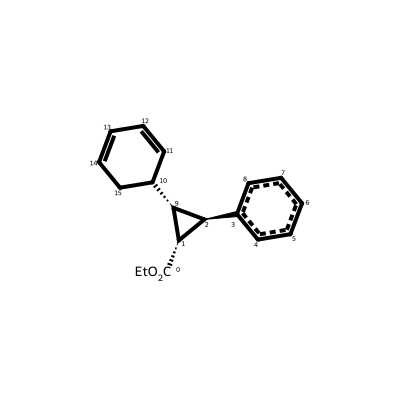 CCOC(=O)[C@H]1[C@H](c2ccccc2)[C@H]1C1C=CC=CC1